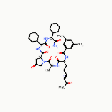 COC(=O)/C=C/CC[C@H](NC(=O)c1cc(C(=O)O)cc([N+](=O)[O-])c1)C(=O)N[C@H](C(=O)N1CC(=O)C[C@H]1C(=O)N[C@H](C(=O)N[C@H](C(N)=O)C1CCCCC1)C1CCCCC1)C(C)(C)C